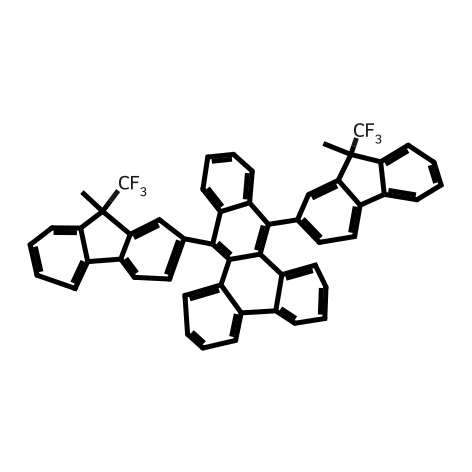 CC1(C(F)(F)F)c2ccccc2-c2ccc(-c3c4ccccc4c(-c4ccc5c(c4)C(C)(C(F)(F)F)c4ccccc4-5)c4c5ccccc5c5ccccc5c34)cc21